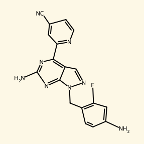 N#Cc1ccnc(-c2nc(N)nc3c2cnn3Cc2ccc(N)cc2F)c1